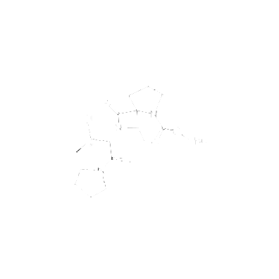 CC1N([C@H](C(=O)N2CCCC2)[C@@H](C)O)C(=O)C12CCCN2C(=O)OC(C)(C)C